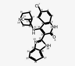 O=c1[nH]c2ccc(Cl)cc2c(NC2CN3CCC2CC3)c1-c1nc2ccccc2[nH]1